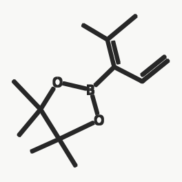 C=CC(B1OC(C)(C)C(C)(C)O1)=C(C)C